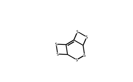 S1SC2SSC3SSC3=C12